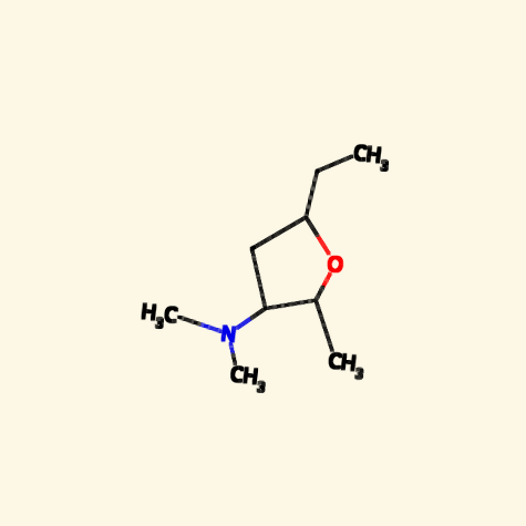 CCC1CC(N(C)C)C(C)O1